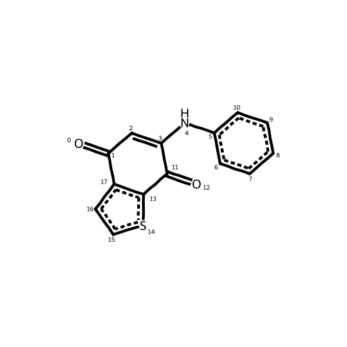 O=C1C=C(Nc2ccccc2)C(=O)c2sccc21